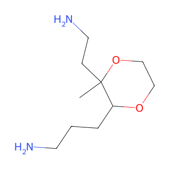 CC1(CCN)OCCOC1CCCN